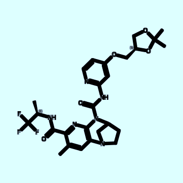 Cc1cc2c(nc1C(=O)N[C@H](C)C(F)(F)F)N(C(=O)Nc1cc(OC[C@H]3COC(C)(C)O3)ccn1)C1CCN2C1